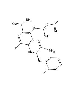 CC(=N)/C=C(\S)Nc1cc(N[C@H](Cc2ccccc2F)C(N)=O)c(F)cc1C(N)=O